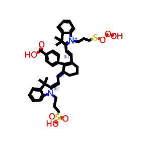 CC1(C)C(/C=C/C2=C(c3ccc(C(=O)O)cc3)C(=C/C=C3/N(CCCS(=O)(=O)O)c4ccccc4C3(C)C)/CCC2)=[N+](CCCSOOO)c2ccccc21